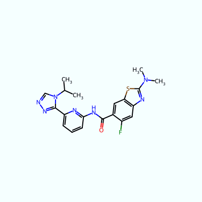 CC(C)n1cnnc1-c1cccc(NC(=O)c2cc3sc(N(C)C)nc3cc2F)n1